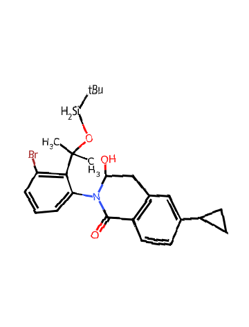 CC(C)(C)[SiH2]OC(C)(C)c1c(Br)cccc1N1C(=O)c2ccc(C3CC3)cc2CC1O